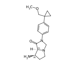 COCC1(c2ccc(N3CN4CC[C@@H](N)[C@H]4C3=O)cc2)CC1